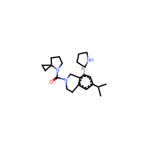 CC(C)c1cc2c(c([C@@H]3CCCN3)c1)CN(C(=O)N1CCCC13CC3)CC2